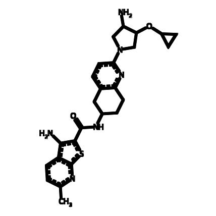 Cc1ccc2c(N)c(C(=O)NC3CCc4nc(N5CC(N)C(OC6CC6)C5)ccc4C3)sc2n1